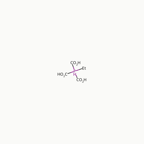 CC[PH](C(=O)O)(C(=O)O)C(=O)O